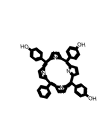 Oc1ccc(-c2c3nc(c(-c4ccc(O)cc4)c4ccc([nH]4)c(-c4ccc(O)cc4)c4nc(c(-c5ccccc5)c5ccc2[nH]5)C=C4)C=C3)cc1